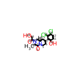 C[C@H]1C(=O)N2CC[C@@H](c3c(O)ccc(Cl)c3Cl)C[C@H]2CN1C(=O)CO